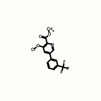 COC(=O)c1ncc(-c2cccc(C(F)(F)F)c2)cc1OCl